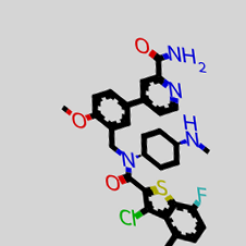 CN[C@H]1CC[C@H](N(Cc2cc(-c3ccnc(C(N)=O)c3)ccc2OC)C(=O)c2sc3c(F)ccc(C)c3c2Cl)CC1